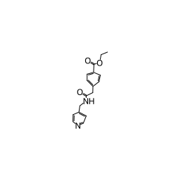 CCOC(=O)c1ccc(CC(=O)NCc2ccncc2)cc1